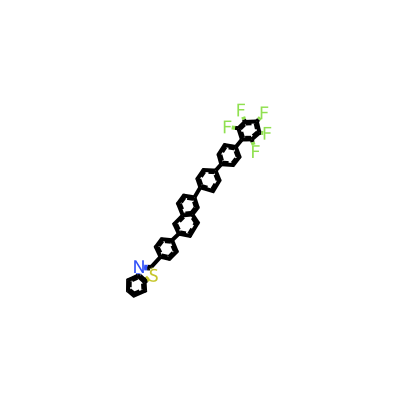 Fc1c(F)c(F)c(-c2ccc(-c3ccc(-c4ccc5cc(-c6ccc(-c7nc8ccccc8s7)cc6)ccc5c4)cc3)cc2)c(F)c1F